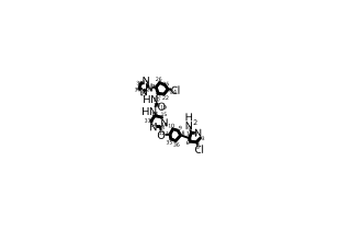 Nc1ncc(Cl)cc1-c1ccc(Oc2ncc(NC(=O)Nc3cc(Cl)ccc3-n3nccn3)cn2)cc1